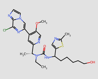 CCN(C(=O)NC(CCCCCO)c1cnc(C)s1)[C@H](C)c1cc(-c2cn3ccnc3c(Cl)n2)c(OC)cn1